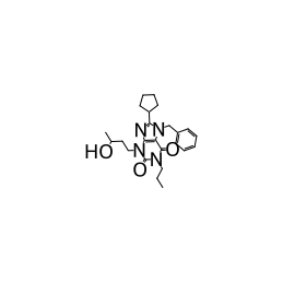 CCCn1c(=O)c2c(nc(C3CCCC3)n2Cc2ccccc2)n(CCC(C)O)c1=O